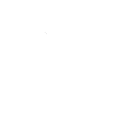 CCCCCCCCCC/C=C/[N+](C)(C)[O-]